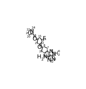 CC(C)n1nc(-c2ccc(Oc3cc(F)cc(OCc4cccn4C)c3)cc2)c2c(N)ncnc21